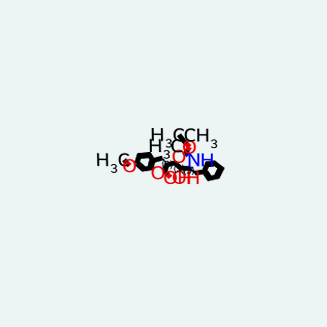 COc1ccc(C[C@H](C[C@H](O)[C@H](Cc2ccccc2)NC(=O)OC(C)(C)C)C(=O)O)cc1